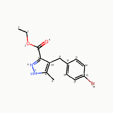 CCOC(=O)c1n[nH]c(C)c1Cc1ccc(Br)cc1